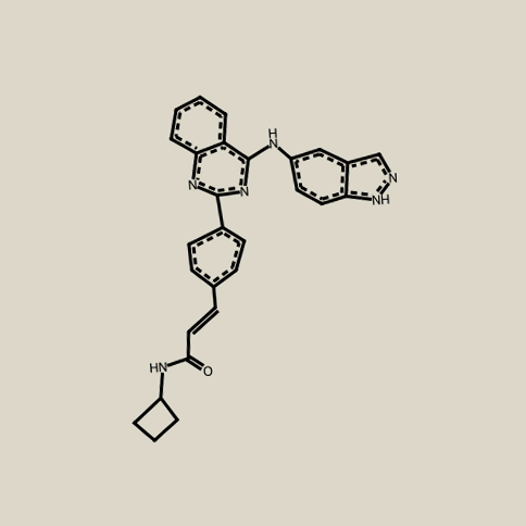 O=C(C=Cc1ccc(-c2nc(Nc3ccc4[nH]ncc4c3)c3ccccc3n2)cc1)NC1CCC1